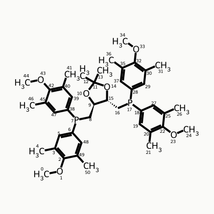 COc1c(C)cc(P(C[C@H]2OC(C)(C)O[C@@H]2CP(c2cc(C)c(OC)c(C)c2)c2cc(C)c(OC)c(C)c2)c2cc(C)c(OC)c(C)c2)cc1C